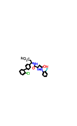 O=C(O)CC(NC(=O)c1cc(O)n(-c2ccccc2F)n1)c1ccc(-c2ccccc2Cl)cc1